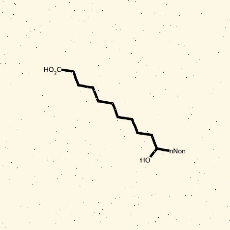 CCCCCCCCCC(O)CCCCCCCCCC(=O)O